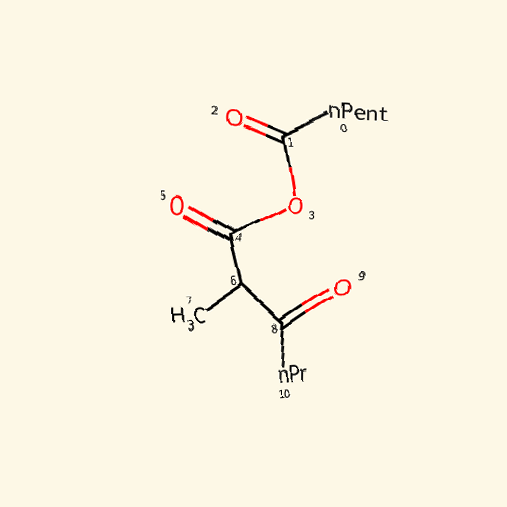 CCCCCC(=O)OC(=O)C(C)C(=O)CCC